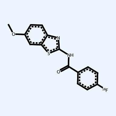 COc1ccc2nc(NC(=O)c3ccc([18F])cc3)sc2c1